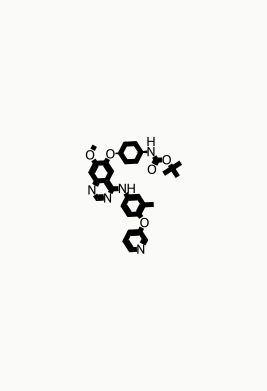 COc1cc2ncnc(Nc3ccc(Oc4cccnc4)c(C)c3)c2cc1O[C@H]1CC[C@H](NC(=O)OC(C)(C)C)CC1